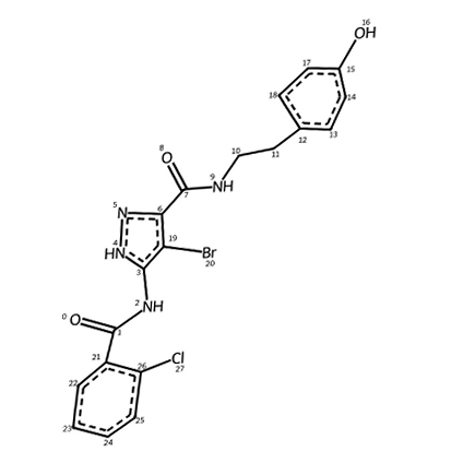 O=C(Nc1[nH]nc(C(=O)NCCc2ccc(O)cc2)c1Br)c1ccccc1Cl